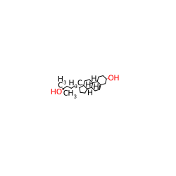 CC(C)(O)CCC[C@H]1CC[C@H]2[C@@H]3CC=C4C[C@@H](O)CC[C@@H]4[C@H]3CC[C@]12C